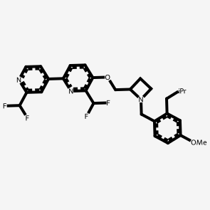 COc1ccc(CN2CCC2COc2ccc(-c3ccnc(C(F)F)c3)nc2C(F)F)c(CC(C)C)c1